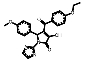 CCOc1ccc(C(=O)C2=C(O)C(=O)N(c3nccs3)C2c2ccc(OC)cc2)cc1